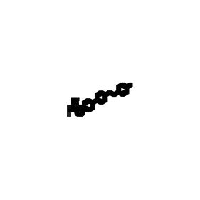 Cc1ccc(CCc2ccc(-c3ccc(OC(F)F)cc3)cc2)cc1